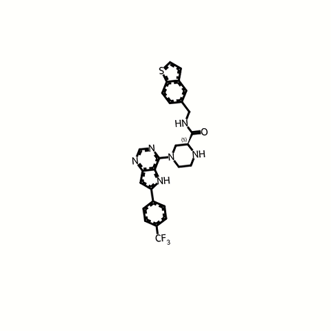 O=C(NCc1ccc2sccc2c1)[C@@H]1CN(c2ncnc3cc(-c4ccc(C(F)(F)F)cc4)[nH]c23)CCN1